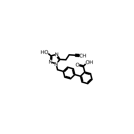 C#CCCc1nc(O)nn1Cc1ccc(-c2ccccc2C(=O)O)cc1